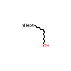 CCCCCCCCCCC/C=C\CCCCCO